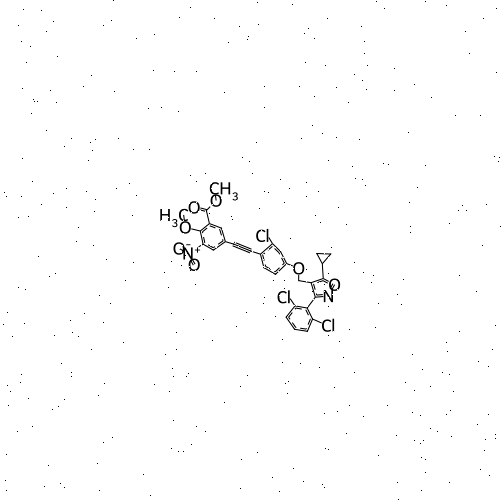 COC(=O)c1cc(C#Cc2ccc(OCc3c(-c4c(Cl)cccc4Cl)noc3C3CC3)cc2Cl)cc([N+](=O)[O-])c1OC